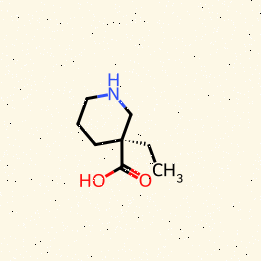 CC[C@]1(C(=O)O)CCCNC1